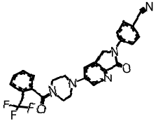 N#Cc1ccc(N2Cc3cc(N4CCN(C(=O)c5ccccc5C(F)(F)F)CC4)cnc3C2=O)cc1